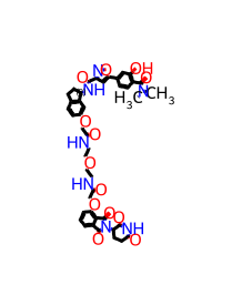 CN(C)C(=O)c1ccc(-c2cc(C(=O)N[C@@H]3CCc4ccc(OCC(=O)NCCOCCNC(=O)COc5cccc6c5C(=O)N(C5CCC(=O)NC5=O)C6=O)cc43)no2)cc1O